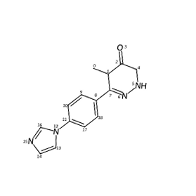 CC1C(=O)CNN=C1c1ccc(-n2ccnc2)cc1